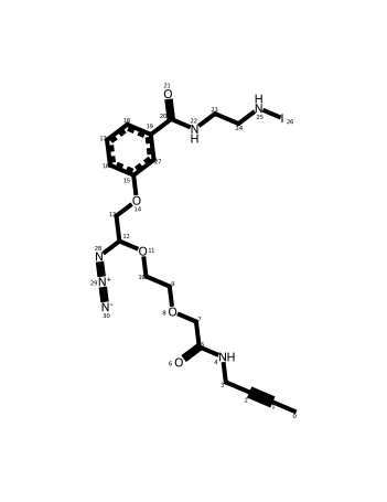 CC#CCNC(=O)COCCOC(COc1cccc(C(=O)NCCNI)c1)N=[N+]=[N-]